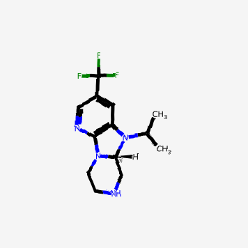 CC(C)N1c2cc(C(F)(F)F)cnc2N2CCNC[C@H]21